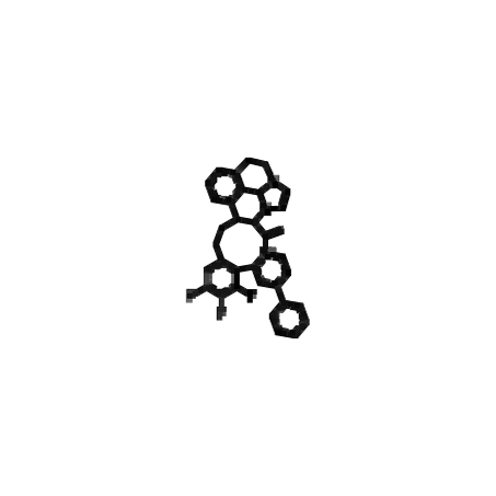 C=C1C2C(CCc3cc(F)c(F)c(F)c3-c3cc(-c4ccccc4)cc[n+]31)c1cccc3c1C1N(C=CN21)CC3